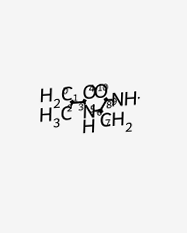 C=C(C)C(=O)NC(=C)C([NH])=O